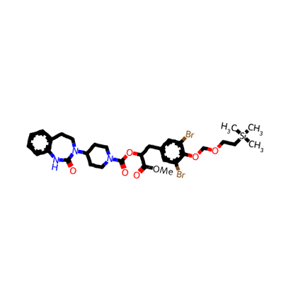 COC(=O)C(Cc1cc(Br)c(OCOCC[Si](C)(C)C)c(Br)c1)OC(=O)N1CCC(N2CCc3ccccc3NC2=O)CC1